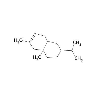 CC1=CCC2CC(C(C)C)CCC2(C)C1